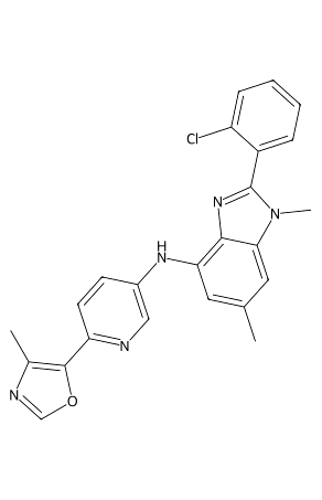 Cc1cc(Nc2ccc(-c3ocnc3C)nc2)c2nc(-c3ccccc3Cl)n(C)c2c1